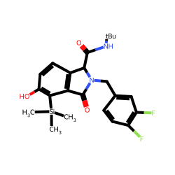 CC(C)(C)NC(=O)C1c2ccc(O)c([Si](C)(C)C)c2C(=O)N1Cc1ccc(F)c(F)c1